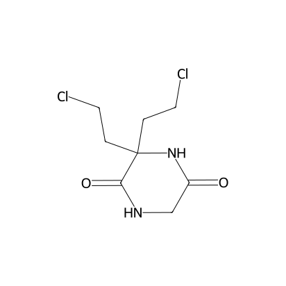 O=C1CNC(=O)C(CCCl)(CCCl)N1